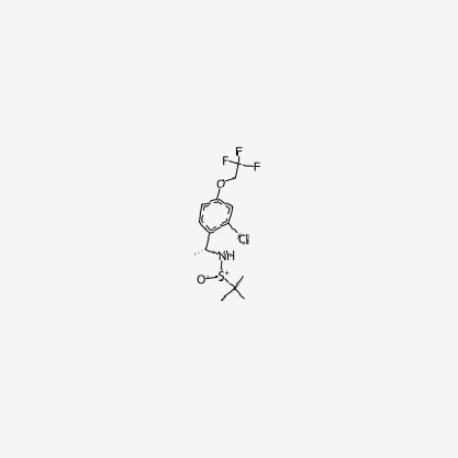 C[C@@H](N[S+]([O-])C(C)(C)C)c1ccc(OCC(F)(F)F)cc1Cl